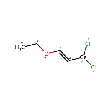 CCOC=[CH][Ce]([Cl])[Cl]